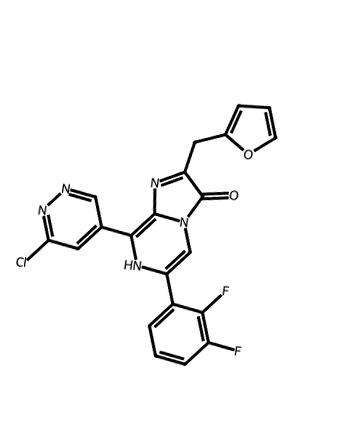 O=c1c(Cc2ccco2)nc2c(-c3cnnc(Cl)c3)[nH]c(-c3cccc(F)c3F)cn1-2